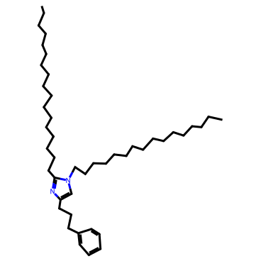 CCCCCCCCCCCCCCCCCc1nc(CCCc2ccccc2)cn1CCCCCCCCCCCCCCCC